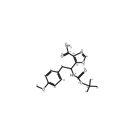 COc1ccc(CC(NC(=O)OC(C)(C)C)c2ocnc2C(N)=O)cc1